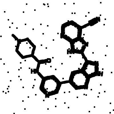 CN1CCC(C(=O)Nc2cncc(-c3cnc4[nH]nc(-c5nc6c(C#N)ccnc6[nH]5)c4c3)c2)CC1